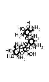 CC(=O)NCC1O[C@H](OC2[C@@H](CO)O[C@@H](O[C@@H]3C(O)[C@H](N)CC(N)[C@H]3O[C@H]3OC(CN)[C@@H](O)[C@H](O)C3N)[C@H]2O)C(N)[C@H](O)[C@@H]1O